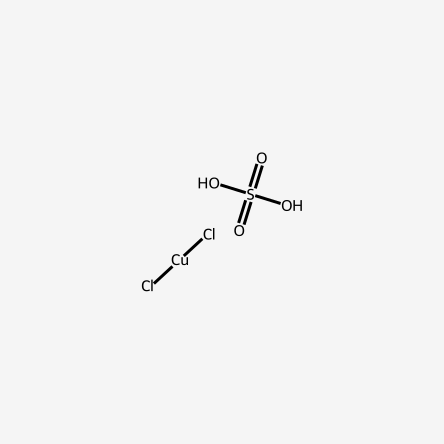 O=S(=O)(O)O.[Cl][Cu][Cl]